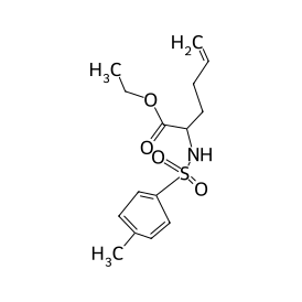 C=CCCC(NS(=O)(=O)c1ccc(C)cc1)C(=O)OCC